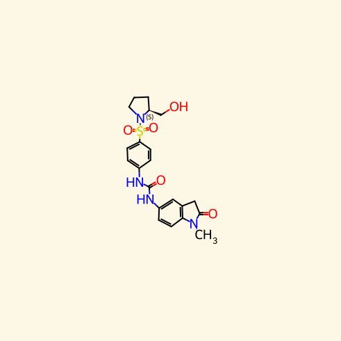 CN1C(=O)Cc2cc(NC(=O)Nc3ccc(S(=O)(=O)N4CCC[C@H]4CO)cc3)ccc21